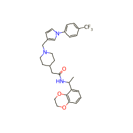 CC(NC(=O)CC1CCN(Cc2ccn(-c3ccc(C(F)(F)F)cc3)c2)CC1)c1cccc2c1OCCO2